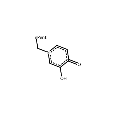 CCCCCCn1ccc(=O)c(O)c1